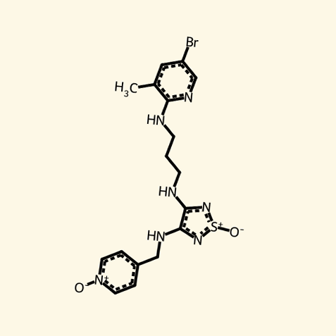 Cc1cc(Br)cnc1NCCCNc1n[s+]([O-])nc1NCc1cc[n+]([O-])cc1